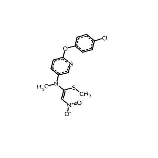 CS/C(=C\[N+](=O)[O-])N(C)c1ccc(Oc2ccc(Cl)cc2)nc1